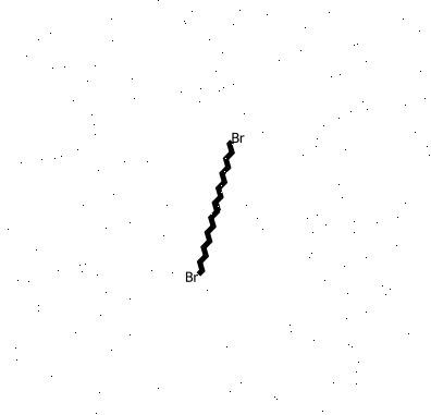 BrCCCCCCCCC=CCCCCCCCCBr